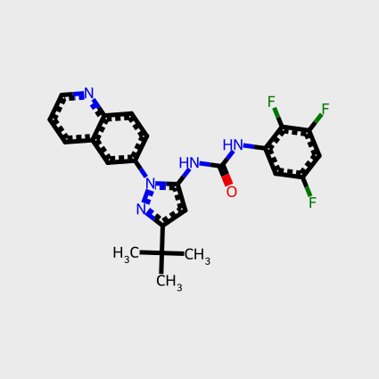 CC(C)(C)c1cc(NC(=O)Nc2cc(F)cc(F)c2F)n(-c2ccc3ncccc3c2)n1